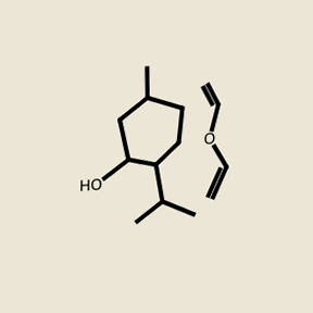 C=COC=C.CC1CCC(C(C)C)C(O)C1